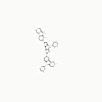 C[Si]1(C)c2ccccc2-c2ccc(-c3cc4c(s3)c3sc(-c5ccc6c(c5)c5ccccc5n6-c5ccccc5)cc3n4-c3ccccc3)cc21